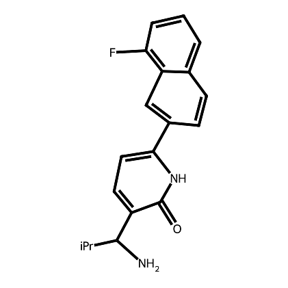 CC(C)C(N)c1ccc(-c2ccc3cccc(F)c3c2)[nH]c1=O